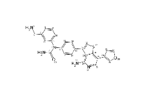 NCc1cccc(N(C(N)=O)c2ccc(-c3csc4c(-c5ccoc5)cnc(N)c34)cc2)c1